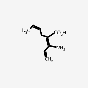 C=C/C(N)=C(\C/C=C\C)C(=O)O